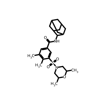 Cc1cc(C(=O)NC2C3CC4CC(C3)CC2C4)cc(S(=O)(=O)N2CC(C)OC(C)C2)c1C